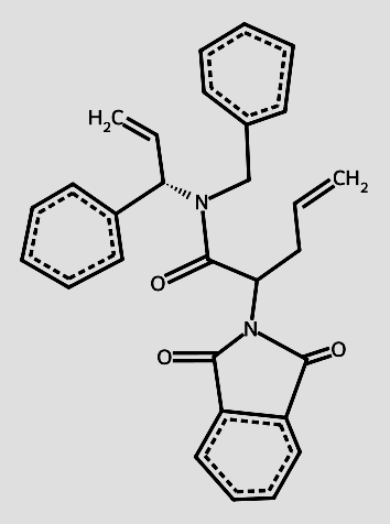 C=CCC(C(=O)N(Cc1ccccc1)[C@@H](C=C)c1ccccc1)N1C(=O)c2ccccc2C1=O